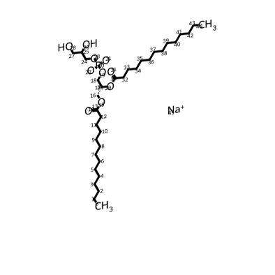 CCCCCCCCCCCCCC(=O)OC[C@H](COP(=O)([O-])OCC(O)CO)OC(=O)CCCCCCCCCCCCC.[Na+]